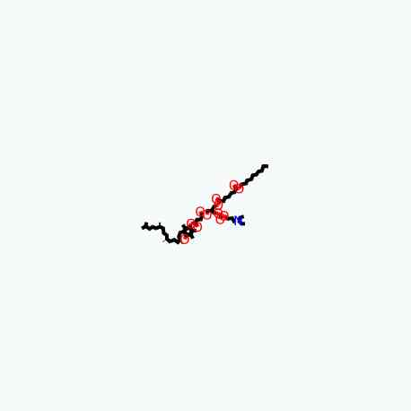 CCCCCCCCCCOC(=O)CCCCCC(=O)OCC(COC(=O)CCC(=O)Oc1c(C)c(C)c2c(c1C)CC[C@@](C)(CCC[C@H](C)CCC[C@H](C)CCCC(C)C)O2)COC(=O)OCCCN(CC)CC